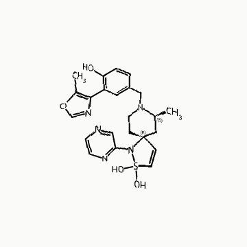 Cc1ocnc1-c1cc(CN2CC[C@]3(C=CS(O)(O)N3c3cnccn3)C[C@@H]2C)ccc1O